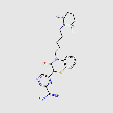 C[C@@H]1CCC[C@H](C)N1CCCCCN1C(=O)C(c2cncc(C(=N)N)n2)Sc2ccccc21